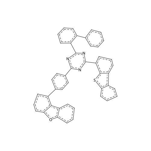 c1ccc(-c2ccccc2-c2nc(-c3ccc(-c4cccc5oc6ccccc6c45)cc3)nc(-c3cccc4c3sc3ccccc34)n2)cc1